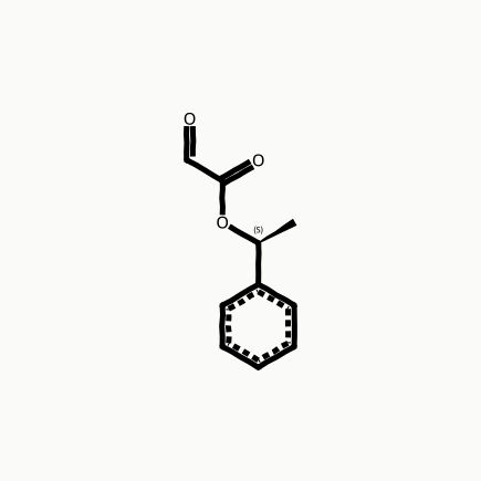 C[C@H](OC(=O)C=O)c1ccccc1